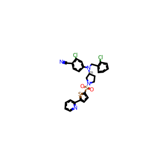 N#Cc1ccc(N(Cc2ccccc2Cl)[C@H]2CCN(S(=O)(=O)c3ccc(-c4ccccn4)s3)C2)cc1Cl